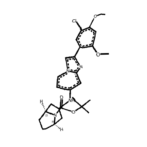 COc1cc(OC)c(-c2cn3ccc(NC4C[C@H]5CC[C@@H](C4)N5C(=O)OC(C)(C)C)cc3n2)cc1Cl